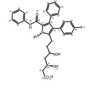 CC(C)n1c(CCC(O)C[C@@H](O)CC(=O)O)c(-c2ccc(F)cc2)c(-c2ccccc2)c1C(=O)Nc1ccccc1